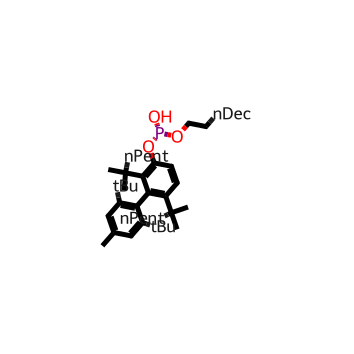 CCCCCCCCCCCCOP(O)Oc1ccc(C(C)(C)CCCCC)c(-c2c(C(C)(C)C)cc(C)cc2C(C)(C)C)c1C(C)(C)CCCCC